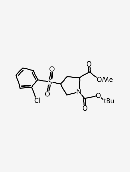 COC(=O)C1CC(S(=O)(=O)c2ccccc2Cl)CN1C(=O)OC(C)(C)C